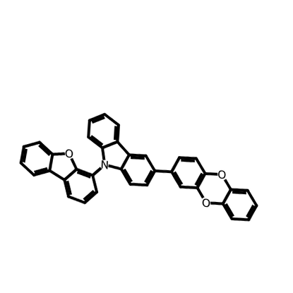 c1ccc2c(c1)Oc1ccc(-c3ccc4c(c3)c3ccccc3n4-c3cccc4c3oc3ccccc34)cc1O2